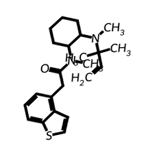 C=CC(C)(C)N(C)C1CCCCC1N(C)C(=O)Cc1cccc2sccc12